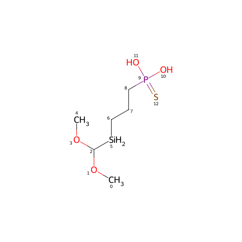 COC(OC)[SiH2]CCCP(O)(O)=S